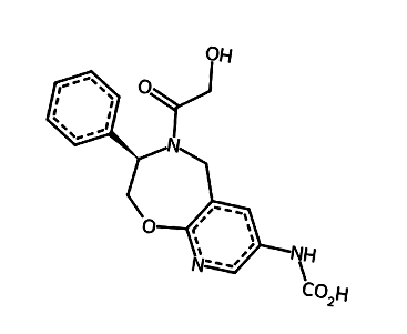 O=C(O)Nc1cnc2c(c1)CN(C(=O)CO)[C@H](c1ccccc1)CO2